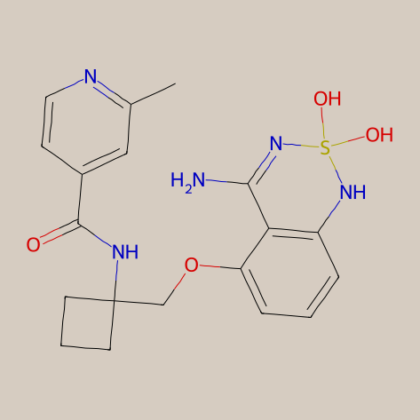 Cc1cc(C(=O)NC2(COc3cccc4c3C(N)=NS(O)(O)N4)CCC2)ccn1